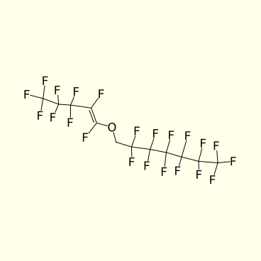 FC(OCC(F)(F)C(F)(F)C(F)(F)C(F)(F)C(F)(F)C(F)(F)F)=C(F)C(F)(F)C(F)(F)C(F)(F)F